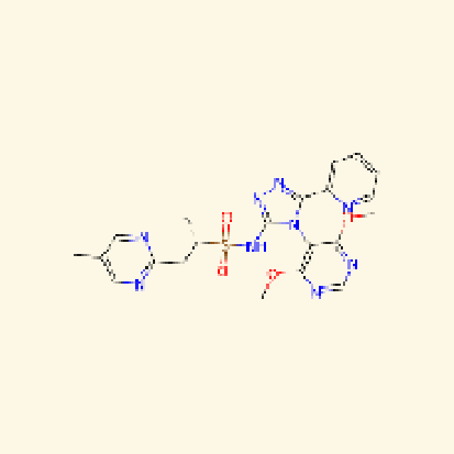 COc1ncnc(OC)c1-n1c(NS(=O)(=O)[C@@H](C)Cc2ncc(C)cn2)nnc1-c1ccccn1